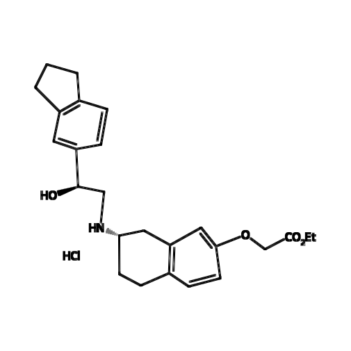 CCOC(=O)COc1ccc2c(c1)C[C@@H](NC[C@@H](O)c1ccc3c(c1)CCC3)CC2.Cl